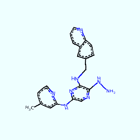 Cc1ccnc(Nc2cnc(NN)c(NCc3ccc4ncccc4c3)n2)c1